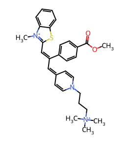 COC(=O)c1ccc(/C(C=C2C=CN(CCC[N+](C)(C)C)C=C2)=C\c2sc3ccccc3[n+]2C)cc1